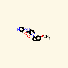 COc1ccc2c(c1)C(n1cccc(C(=O)Nc3ccncc3)c1=O)CC2